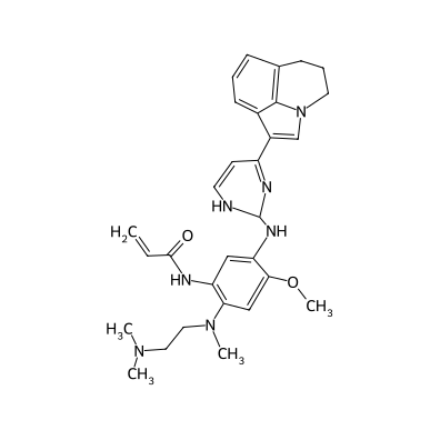 C=CC(=O)Nc1cc(NC2N=C(c3cn4c5c(cccc35)CCC4)C=CN2)c(OC)cc1N(C)CCN(C)C